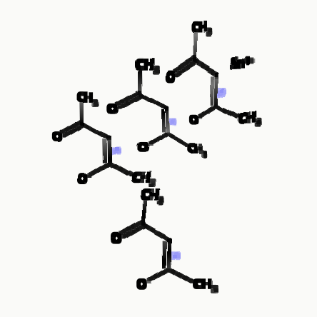 CC(=O)/C=C(/C)[O-].CC(=O)/C=C(/C)[O-].CC(=O)/C=C(/C)[O-].CC(=O)/C=C(/C)[O-].[Sn+4]